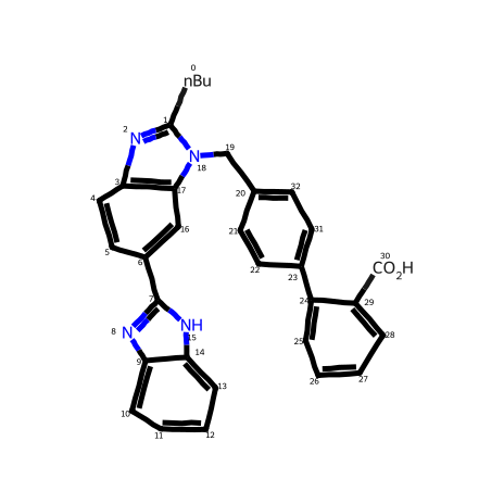 CCCCc1nc2ccc(-c3nc4ccccc4[nH]3)cc2n1Cc1ccc(-c2ccccc2C(=O)O)cc1